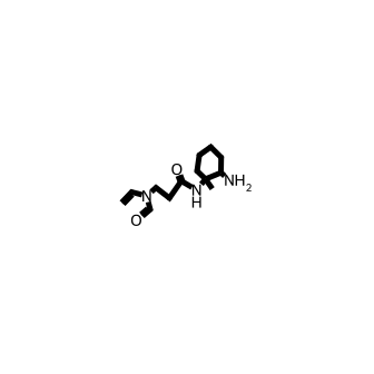 C=CN(C=O)CCC(=O)NC1(C)CCCCC1N